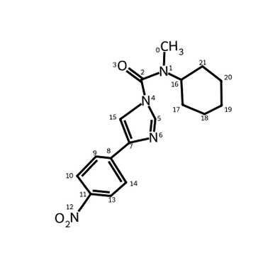 CN(C(=O)n1cnc(-c2ccc([N+](=O)[O-])cc2)c1)C1CCCCC1